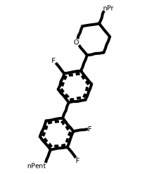 CCCCCc1ccc(-c2ccc(C3CCC(CCC)CO3)c(F)c2)c(F)c1F